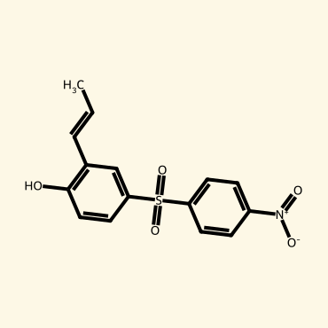 CC=Cc1cc(S(=O)(=O)c2ccc([N+](=O)[O-])cc2)ccc1O